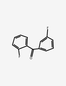 O=C(c1cccc(F)c1)c1ccccc1F